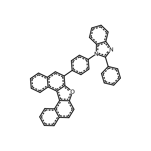 c1ccc(-c2nc3ccccc3n2-c2ccc(-c3cc4ccccc4c4c3oc3ccc5ccccc5c34)cc2)cc1